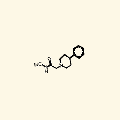 N#CNC(=O)CN1CCC(c2ccccc2)CC1